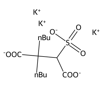 CCCCC(CCCC)(C(=O)[O-])C(C(=O)[O-])S(=O)(=O)[O-].[K+].[K+].[K+]